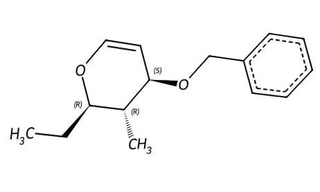 CC[C@H]1OC=C[C@@H](OCc2ccccc2)[C@@H]1C